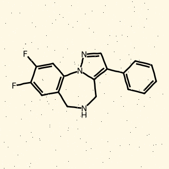 Fc1cc2c(cc1F)-n1ncc(-c3ccccc3)c1CNC2